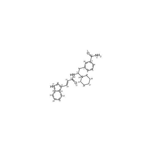 NC(=O)c1cccc(CC(NC(=O)C=Cc2c[nH]c3ccccc23)N2CCCCC2)c1